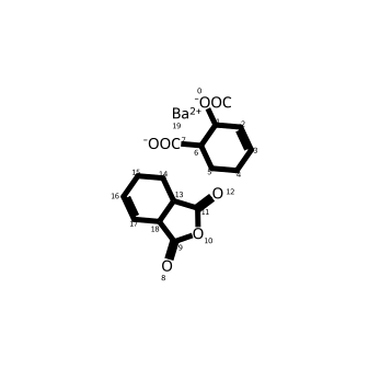 O=C([O-])C1C=CCCC1C(=O)[O-].O=C1OC(=O)C2CCC=CC12.[Ba+2]